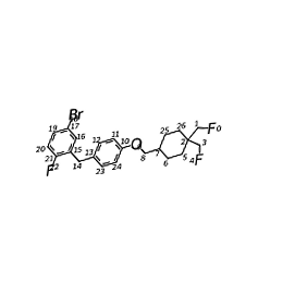 FCC1(CF)CCC(COc2ccc(Cc3cc(Br)ccc3F)cc2)CC1